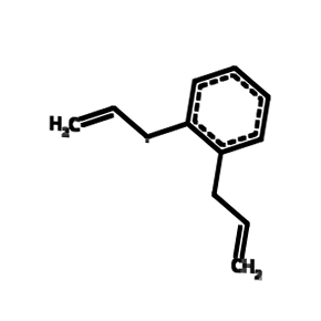 C=C[CH]c1ccccc1CC=C